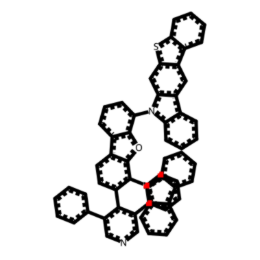 c1ccc(-c2cncc(-c3ccccc3)c2-c2ccc3c(oc4c(-n5c6ccccc6c6cc7c(cc65)sc5ccccc57)cccc43)c2-n2c3ccccc3c3ccccc32)cc1